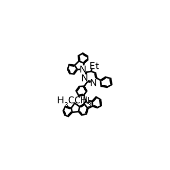 CCC1C=C(c2ccccc2)N=C(c2cccc(-n3c4ccccc4c4ccc5c(c43)C(C)(C)c3ccccc3-5)c2)N=C1n1c2ccccc2c2ccccc21